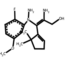 COc1ccc(F)c(N(N)/C(C2=CCCC2(C)C)=C(\N)CO)c1